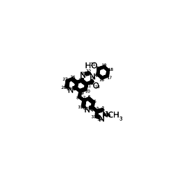 Cn1cc(-c2ccc(Cc3cc4c(=O)n([C@H]5CCCC[C@@H]5O)cnc4c4cccnc34)cn2)cn1